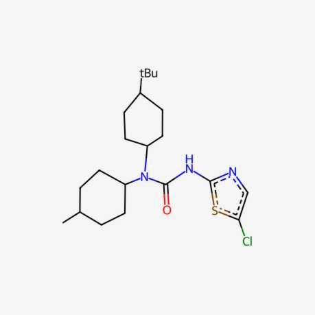 CC1CCC(N(C(=O)Nc2ncc(Cl)s2)C2CCC(C(C)(C)C)CC2)CC1